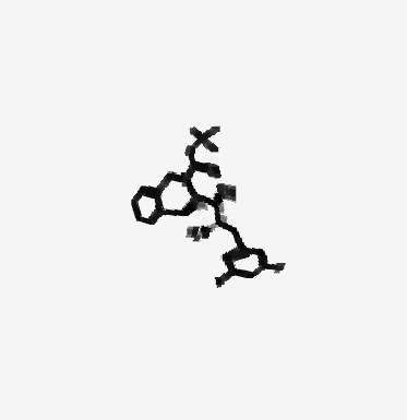 CC(C)(C)OC(=O)N1Cc2ccccc2C[C@@H]1[C@@H](O)[C@@H](N)Cc1cc(F)cc(F)c1